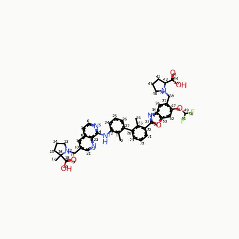 Cc1c(Nc2nccc3cc(CN4CCCC4(C)C(=O)O)cnc23)cccc1-c1cccc(-c2nc3cc(CN4CCCC4C(=O)O)c(OC(F)F)cc3o2)c1C